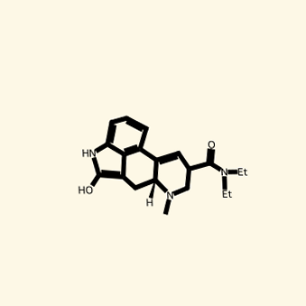 CCN(CC)C(=O)C1C=C2c3cccc4[nH]c(O)c(c34)C[C@H]2N(C)C1